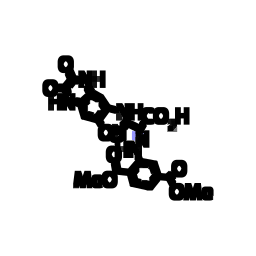 COC(=O)c1ccc(C(=O)OC)c(N/N=C(/C(=O)O)C(=O)Nc2cc3[nH]c(=O)c(=O)[nH]c3cc2O)c1